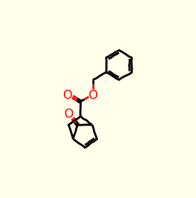 O=C1C2C=CC1C(C(=O)OCc1ccccc1)C2